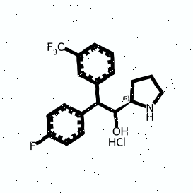 Cl.OC(C(c1ccc(F)cc1)c1cccc(C(F)(F)F)c1)[C@H]1CCCN1